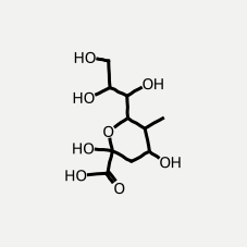 CC1C(O)CC(O)(C(=O)O)OC1C(O)C(O)CO